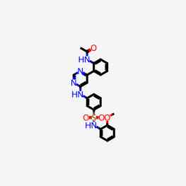 COc1ccccc1NS(=O)(=O)c1cccc(Nc2cc(-c3ccccc3NC(C)=O)ncn2)c1